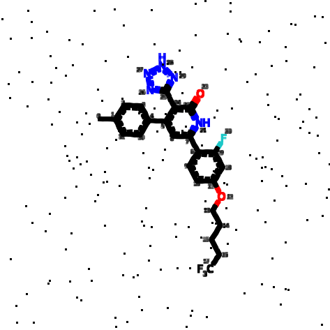 Cc1ccc(-c2cc(-c3ccc(OCCCCC(F)(F)F)cc3F)[nH]c(=O)c2-c2nn[nH]n2)cc1